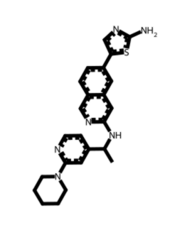 CC(Nc1cc2cc(-c3cnc(N)s3)ccc2cn1)c1ccnc(N2CCCCC2)c1